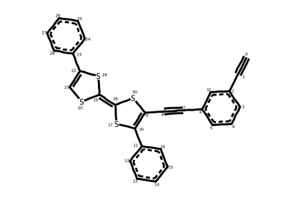 C#Cc1cccc(C#CC2=C(c3ccccc3)S/C(=C3\SC=C(c4ccccc4)S3)S2)c1